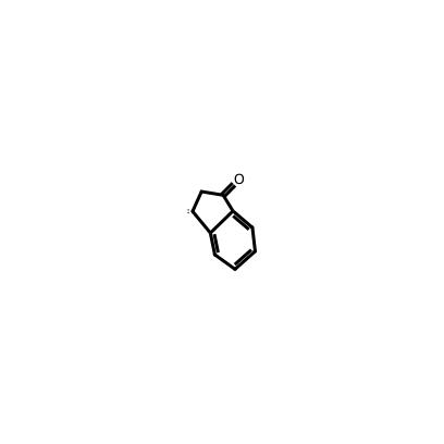 O=C1C[C]c2ccccc21